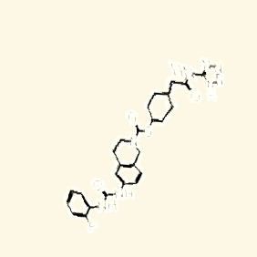 O=C(CC1CCC(OC(=O)N2CCc3cc(NC(=O)Nc4ccccc4F)ccc3C2)CC1)Nc1nnn[nH]1